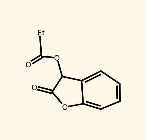 CCC(=O)OC1C(=O)Oc2ccccc21